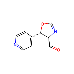 O=C[C@@H]1N=CO[C@H]1c1ccncc1